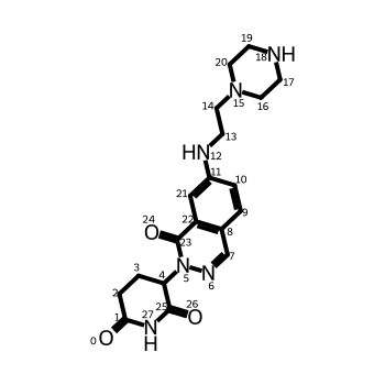 O=C1CCC(n2ncc3ccc(NCCN4CCNCC4)cc3c2=O)C(=O)N1